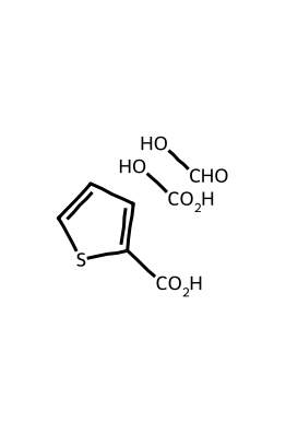 O=C(O)O.O=C(O)c1cccs1.O=CO